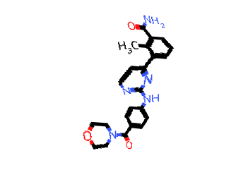 Cc1c(C(N)=O)cccc1-c1ccnc(Nc2ccc(C(=O)N3CCOCC3)cc2)n1